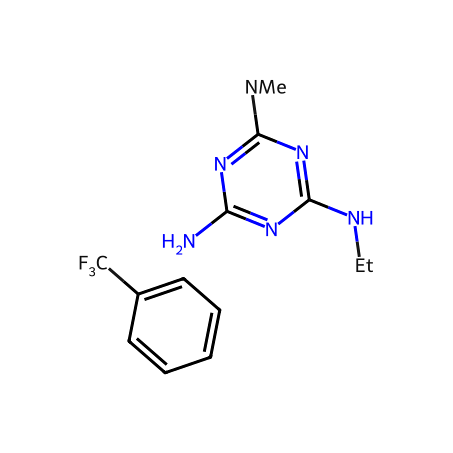 CCNc1nc(N)nc(NC)n1.FC(F)(F)c1ccccc1